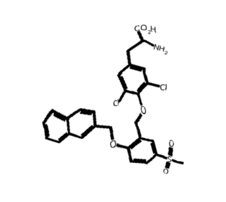 CS(=O)(=O)c1ccc(OCc2ccc3ccccc3c2)c(COc2c(Cl)cc(CC(N)C(=O)O)cc2Cl)c1